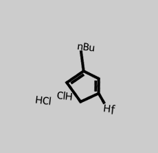 CCCCC1=CC[C]([Hf])=C1.Cl.Cl